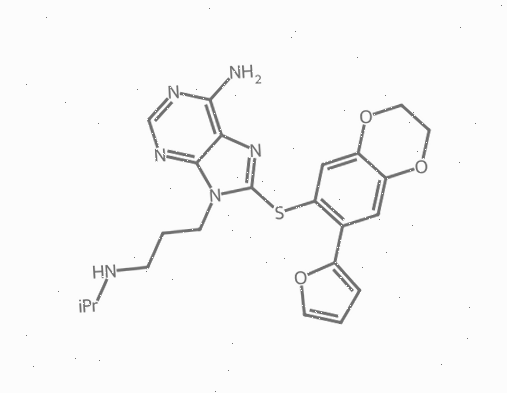 CC(C)NCCCn1c(Sc2cc3c(cc2-c2ccco2)OCCO3)nc2c(N)ncnc21